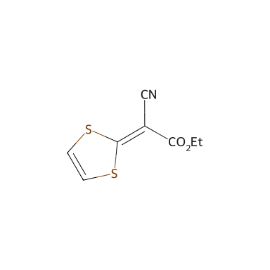 CCOC(=O)C(C#N)=C1SC=CS1